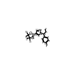 CCC(c1ccc(F)cc1)n1cc(B2OC(C)(C)C(C)(C)O2)cn1